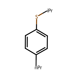 CCCc1ccc(SC(C)C)cc1